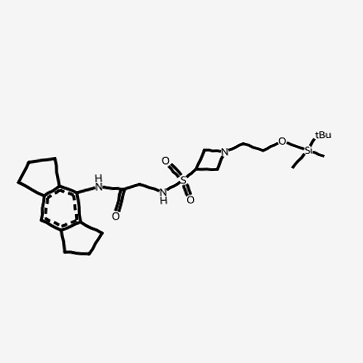 CC(C)(C)[Si](C)(C)OCCN1CC(S(=O)(=O)NCC(=O)Nc2c3c(cc4c2CCC4)CCC3)C1